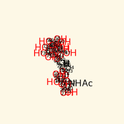 C=C1C[C@@]23CCC4[C@](C)(C(=O)OC5OC(CO)C(O)C(O)C5OC5OC(CO)C(O)CC5NC(C)=O)CCC[C@@]4(C)[C@@H]2CC[C@]1(OC1OC(CO)C(O)C(OC2OC(CO)C(O)C(O)C2O)C1OC1OC(CO)C(O)C(O)C1O)C3